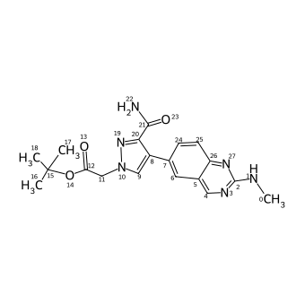 CNc1ncc2cc(-c3cn(CC(=O)OC(C)(C)C)nc3C(N)=O)ccc2n1